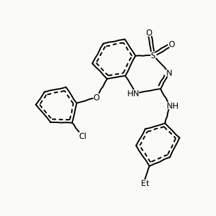 CCc1ccc(NC2=NS(=O)(=O)c3cccc(Oc4ccccc4Cl)c3N2)cc1